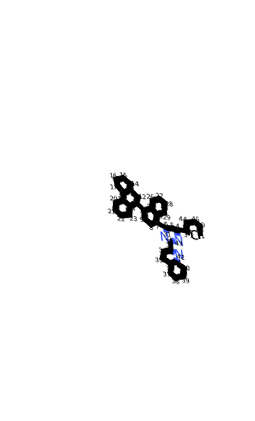 c1ccc(-c2cc(-c3ccc(-c4cc5ccccc5c5ccccc45)c4ccccc34)nc(-c3ccc4ccccc4n3)n2)cc1